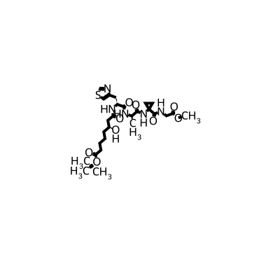 COC(=O)CNC(=O)C1(NC(=O)[C@@H](C)NC(=O)[C@@H](Cc2cscn2)NC(=O)C[C@H](O)CCCCC(=O)OC(C)(C)C)CC1